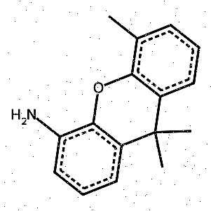 Cc1cccc2c1Oc1c(N)cccc1C2(C)C